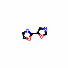 [c]1coc(-c2cnco2)n1